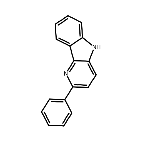 c1ccc(-c2ccc3[nH]c4ccccc4c3n2)cc1